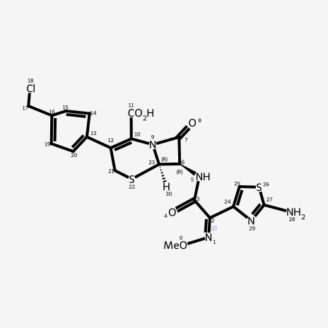 CO/N=C(\C(=O)N[C@@H]1C(=O)N2C(C(=O)O)=C(c3ccc(CCl)cc3)CS[C@H]12)c1csc(N)n1